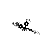 Cc1ccc(-c2c(CCCCO[N+](=O)[O-])n[nH]c2-c2ccc(S(C)(=O)=O)cc2)cc1